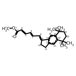 COC(=O)C=CC=CC=C1CCc2cc3c(cc21)C(C)(C)CCC3(C)C